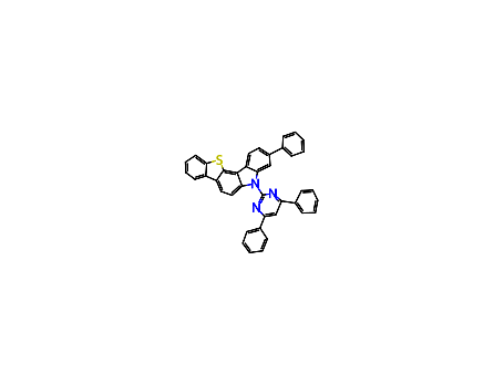 c1ccc(-c2ccc3c4c5sc6ccccc6c5ccc4n(-c4nc(-c5ccccc5)cc(-c5ccccc5)n4)c3c2)cc1